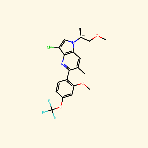 COC[C@H](C)n1cc(Cl)c2nc(-c3ccc(OC(F)(F)F)cc3OC)c(C)cc21